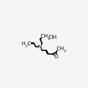 C=CCN(CC=C)CC=CC1OC1C.Cl